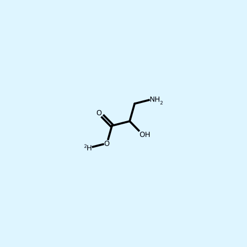 [2H]OC(=O)C(O)CN